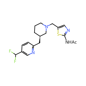 CC(=O)Nc1ncc(CN2CCC[C@H](Cc3ccc(C(F)F)cn3)C2)s1